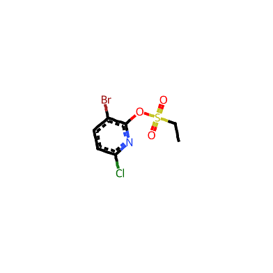 CCS(=O)(=O)Oc1nc(Cl)ccc1Br